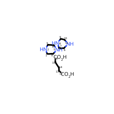 C1CNCCN1.C1CNCCN1.O=C(O)CCCC(=O)O